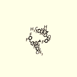 Cc1cc2nc(N3CCC(Cc4ccc(F)cc4F)CC3)c(NC3CC3)nc2cn1.Cc1cc2nc(NC3CC3)c(N3CCC(C(=O)c4cc(F)ccc4F)CC3)nc2cn1